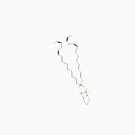 CCCCC/C=C\C/C=C\CCCCCCCCC1(CCCCCCCC/C=C\C/C=C\CCCCC)O[C@@H]2[C@H]3CCC[C@H]3[C@@H]2O1